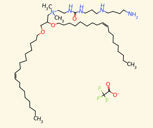 CCCCCCCC/C=C\CCCCCCCCOCC(C[N+](C)(C)CCNC(=O)NCCCNCCCCN)OCCCCCCCC/C=C\CCCCCCCC.O=C([O-])C(F)(F)F